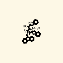 CNC(Cc1ccccc1)C(O)C(C(=O)OCC1c2ccccc2-c2ccccc21)N(C(=O)O)C(N)(Cc1ccccc1)C(C)O